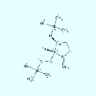 C=C1CC[C@H](O[Si](C)(C)C(C)(C)C)[C@@]1(F)CO[Si](C)(C)C(C)(C)C